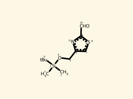 CC(C)(C)[Si](C)(C)OCc1csc(C=O)n1